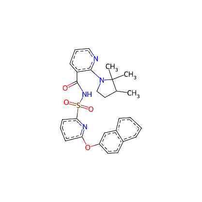 CC1CCN(c2ncccc2C(=O)NS(=O)(=O)c2cccc(Oc3ccc4ccccc4c3)n2)C1(C)C